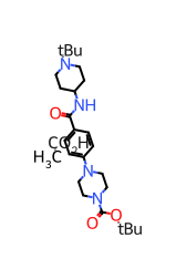 CC(=O)O.CC(C)(C)OC(=O)N1CCN(c2ccc(C(=O)NC3CCN(C(C)(C)C)CC3)cc2)CC1